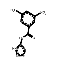 Cc1cc([N+](=O)[O-])cc(C(=O)Nc2nnn[nH]2)n1